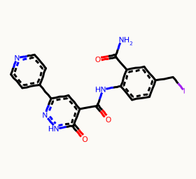 NC(=O)c1cc(CI)ccc1NC(=O)c1cc(-c2ccncc2)n[nH]c1=O